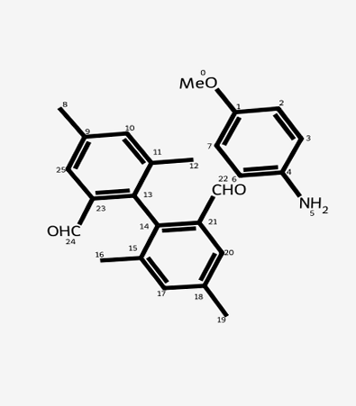 COc1ccc(N)cc1.Cc1cc(C)c(-c2c(C)cc(C)cc2C=O)c(C=O)c1